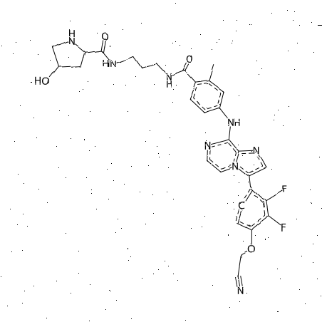 Cc1cc(Nc2nccn3c(-c4ccc(OCC#N)c(F)c4F)cnc23)ccc1C(=O)NCCCNC(=O)C1CC(O)CN1